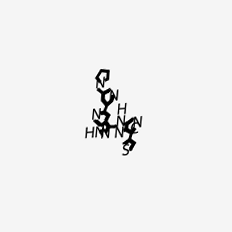 c1cc(-c2cncc3[nH]c(-c4n[nH]c5cnc(-c6cncc(CN7CCCC7)c6)cc45)nc23)cs1